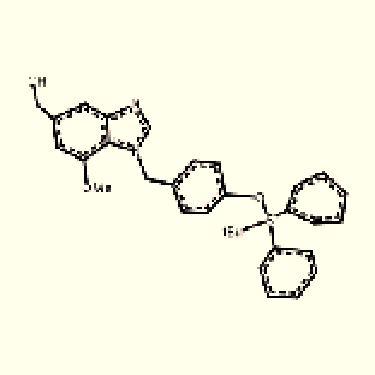 COc1cc(CO)cc2ncn(Cc3ccc(O[Si](c4ccccc4)(c4ccccc4)C(C)(C)C)cc3)c12